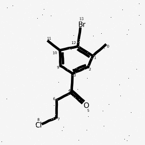 Cc1cc(C(=O)CCCl)cc(C)c1Br